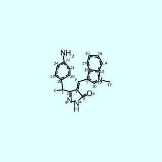 CC(C1=NNC(=O)/C1=C\c1cn(C)c2ccccc12)c1ccc(N)cc1